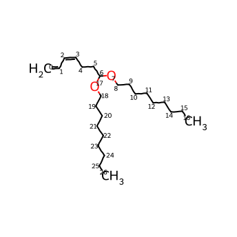 C=C/C=C\CCC(OCCCCCCCCC)OCCCCCCCCC